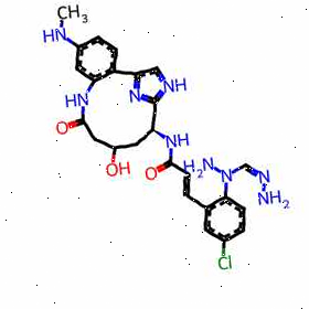 CNc1ccc2c(c1)NC(=O)CC(O)C[C@H](NC(=O)/C=C/c1cc(Cl)ccc1N(N)/C=N\N)c1nc-2c[nH]1